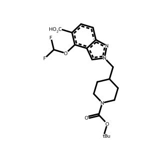 CC(C)(C)OC(=O)N1CCC(Cn2cc3c(OC(F)F)c(C(=O)O)ccc3n2)CC1